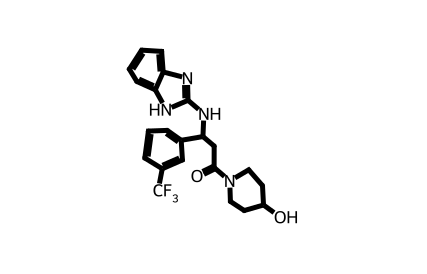 O=C(CC(Nc1nc2ccccc2[nH]1)c1cccc(C(F)(F)F)c1)N1CCC(O)CC1